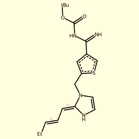 CC/C=C/C=C1\NC=CN1Cc1cc(C(=N)NC(=O)OC(C)(C)C)cs1